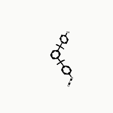 CC(C)(c1ccc(O)cc1)c1cccc(C(C)(C)c2ccc(N=C=O)cc2)c1